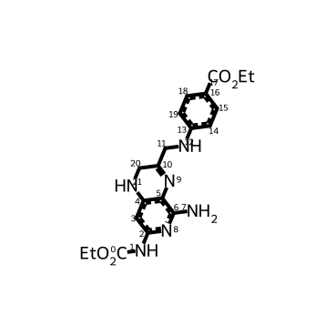 CCOC(=O)Nc1cc2c(c(N)n1)N=C(CNc1ccc(C(=O)OCC)cc1)CN2